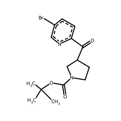 CC(C)(C)OC(=O)N1CCC(C(=O)c2ccc(Br)cn2)C1